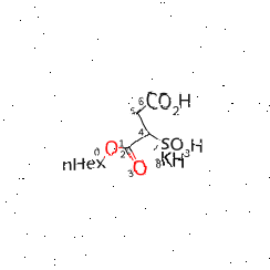 CCCCCCOC(=O)C(CC(=O)O)S(=O)(=O)O.[KH]